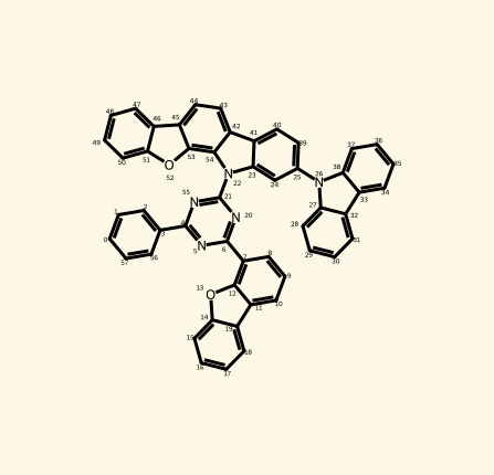 c1ccc(-c2nc(-c3cccc4c3oc3ccccc34)nc(-n3c4cc(-n5c6ccccc6c6ccccc65)ccc4c4ccc5c6ccccc6oc5c43)n2)cc1